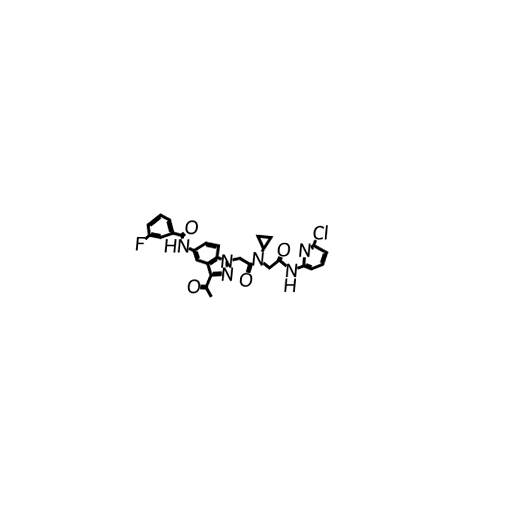 CC(=O)c1nn(CC(=O)N(CC(=O)Nc2cccc(Cl)n2)C2CC2)c2ccc(NC(=O)c3cccc(F)c3)cc12